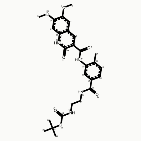 COc1cc2cc(C(=O)Nc3cc(C(=O)NCCNC(=O)OC(C)(C)C)ccc3C)c(=O)[nH]c2cc1OC